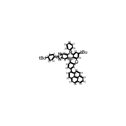 CC(C)(C)c1ccc(-n2nc3cc4c(cc3n2)N(c2ccccc2)c2cc(C(C)(C)C)cc3c2B4c2ccc(-c4ccc5ccc6cccc7ccc4c5c67)cc2O3)cc1